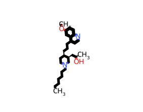 CCCCCCCN1CC[C@@H](CCCc2ccnc3ccc(OC)cc23)[C@@H](C[C@@H](C)O)C1